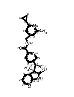 Cc1cc(CNC(=O)c2ccc([C@@H](C)[C@@]3(C)C(=O)Nc4ncccc43)cn2)cc(C2CC2)n1